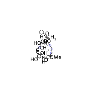 CO[C@H]1/C=C/C=C/C=C/C[C@H](OC(=O)[C@@H](C)NC(=O)C2CCCCC2)[C@@H](C)[C@@H](O)/C(C)=C/CCc2cc(O)cc(c2O)NC(=O)C1